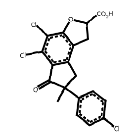 CC1(c2ccc(Cl)cc2)Cc2c3c(c(Cl)c(Cl)c2C1=O)OC(C(=O)O)C3